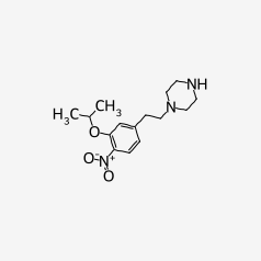 CC(C)Oc1cc(CCN2CCNCC2)ccc1[N+](=O)[O-]